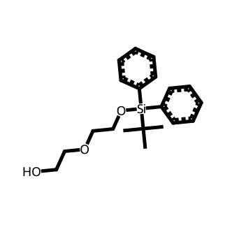 CC(C)(C)[Si](OCCOCCO)(c1ccccc1)c1ccccc1